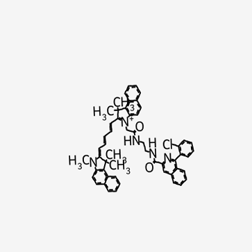 CN1/C(=C/C=C/C=C/C2=[N+](CC(=O)NCCNC(=O)c3cc4ccccc4c(-c4ccccc4Cl)n3)c3ccc4ccccc4c3C2(C)C)C(C)(C)c2c1ccc1ccccc21